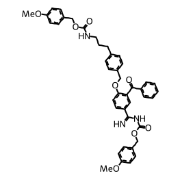 COc1ccc(COC(=O)NCCCc2ccc(COc3ccc(C(=N)NC(=O)OCc4ccc(OC)cc4)cc3C(=O)c3ccccc3)cc2)cc1